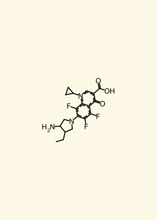 CCC1CN(c2c(F)c(F)c3c(=O)c(C(=O)O)cn(C4CC4)c3c2F)CC1N